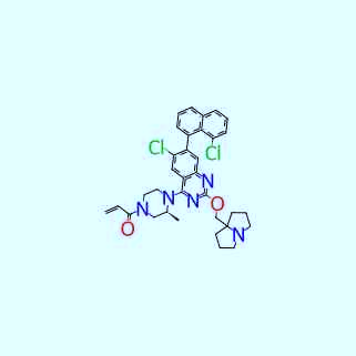 C=CC(=O)N1CCN(c2nc(OCC34CCCN3CCC4)nc3cc(-c4cccc5cccc(Cl)c45)c(Cl)cc23)[C@@H](C)C1